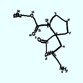 COC(=O)C1(CCN)CCCN1C(=O)OC(C)(C)C